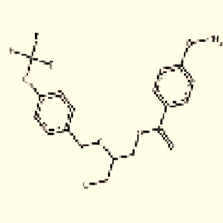 COc1ccc(C(=O)OCC(CCl)OCc2ccc(OC(F)(F)F)cc2)cc1